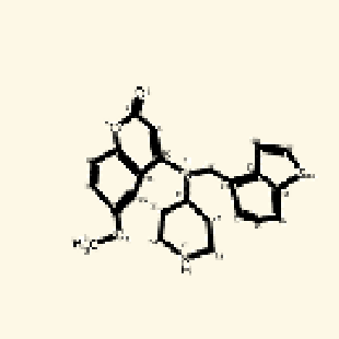 COc1ccc2oc(=O)cc(N(Cc3cccc4sccc34)C3CCNCC3)c2c1